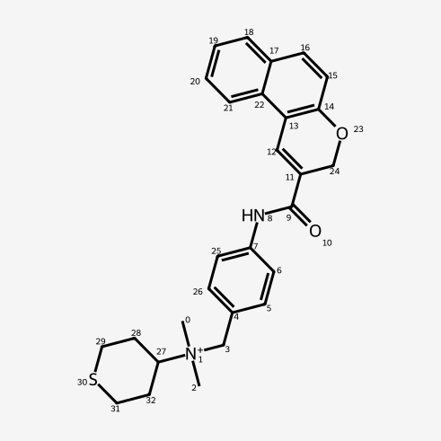 C[N+](C)(Cc1ccc(NC(=O)C2=Cc3c(ccc4ccccc34)OC2)cc1)C1CCSCC1